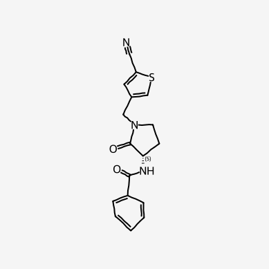 N#Cc1cc(CN2CC[C@H](NC(=O)c3ccccc3)C2=O)cs1